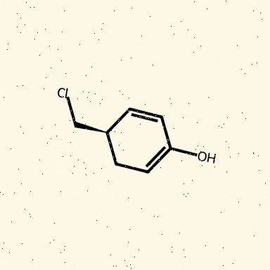 OC1=CC[C@@H](CCl)C=C1